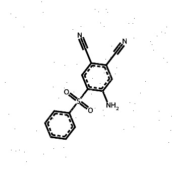 N#Cc1cc(N)c(S(=O)(=O)c2ccccc2)cc1C#N